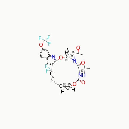 CC(=O)[C@@H]1[C@H](C)[C@@H]2CN1C(=O)[C@H](C(C)(C)C)NC(=O)O[C@@H]1C[C@H]1CCCCC(F)(F)c1cc3ccc(OC(F)(F)F)cc3nc1O2